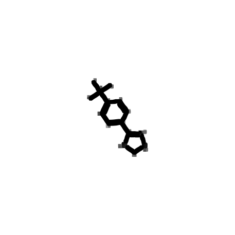 CC(C)(C)c1ccc(C2=NOCO2)cc1